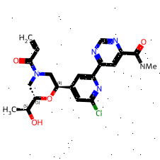 C=CC(=O)N1C[C@@H](c2cc(Cl)nc(-c3cc(C(=O)NC)ncn3)c2)O[C@H]([C@H](C)O)C1